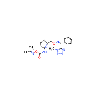 CCC(C)=NOC(=O)Nc1cccc(CO/N=C(/c2ccccc2)c2nnnn2C)n1